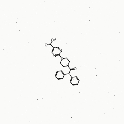 O=C(O)c1cnc(N2CCN(C(=O)C(c3ccccc3)c3ccccc3)CC2)nc1